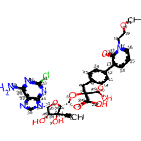 C#C[C@@]1(O)[C@@H](COC(Cc2ccc(-c3cccn(CCOC)c3=O)cc2)(C(=O)O)C(=O)O)O[C@@H](n2cnc3c(N)nc(Cl)nc32)[C@@H]1O